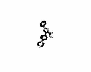 CNC(=O)c1nn(-c2ccccc2)cc1-c1ccc(N2CCOCC2)cc1